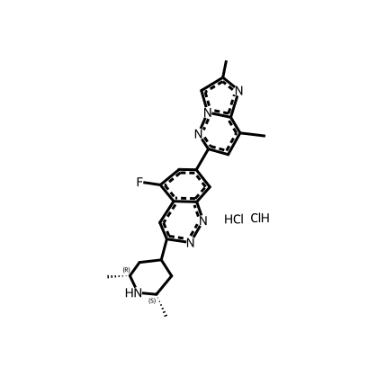 Cc1cn2nc(-c3cc(F)c4cc(C5C[C@@H](C)N[C@@H](C)C5)nnc4c3)cc(C)c2n1.Cl.Cl